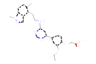 CCOc1cc(-c2cc(NCCc3c(C)ccc4c3cnn4C)ncn2)ccc1OCC(=O)O